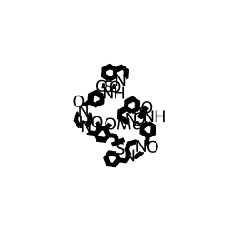 COc1c(CC(C)(C)Sc2ccccc2CN2CCCN(C(=O)c3ccc(NS(=O)(=O)c4cccc5cccnc45)cc3)CC2)ccc(CN2CCCN(C(=O)c3ccc(NS(=O)(=O)c4cccc5cccnc45)cc3)CC2)c1O